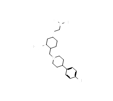 O=C(O)[C@H]1C[C@H](CCB(O)O)CCC1CN1CCC(c2ccc(Cl)cc2)CC1